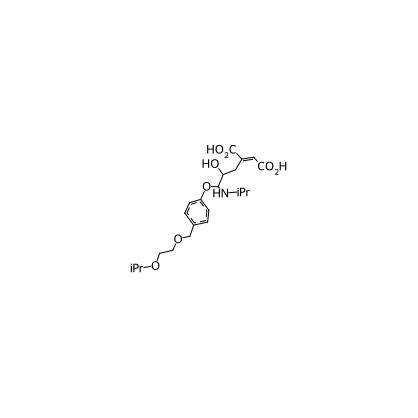 CC(C)NC(Oc1ccc(COCCOC(C)C)cc1)C(O)C/C(=C\C(=O)O)C(=O)O